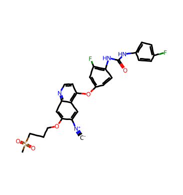 [C-]#[N+]c1cc2c(Oc3ccc(NC(=O)Nc4ccc(F)cc4)c(F)c3)ccnc2cc1OCCCS(C)(=O)=O